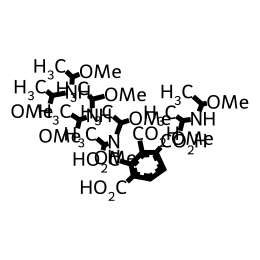 COC(C)NC(C)OC.COC(C)NC(C)OC.COC(C)NC(C)OC.COC(C)NC(C)OC.O=C(O)c1ccc(C(=O)O)c(C(=O)O)c1C(=O)O